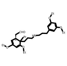 CCOC1=C[C@@H](CC=O)C(CCCNCCCc2cc(OCC)cc(OCC)c2)(C(C)C)C(OCC)=C1